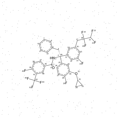 O=C(N[C@@](Cc1ccccc1)(c1cc(F)cc(CC(F)(F)C(F)F)c1)c1ccc(F)c(OC2CC2)c1)c1ccc(F)c(C(F)(F)F)c1